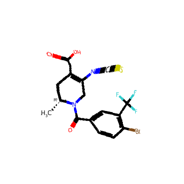 C[C@@H]1CC(C(=O)O)=C(N=C=S)CN1C(=O)c1ccc(Br)c(C(F)(F)F)c1